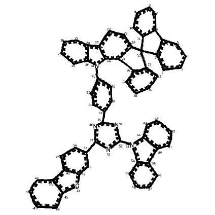 c1ccc2c(c1)-c1ccccc1C21c2ccccc2-c2c1ccc1c3ccccc3n(-c3ccc(-c4nc(-c5ccc6c(c5)oc5ccccc56)nc(-n5c6ccccc6c6ccccc65)n4)cc3)c21